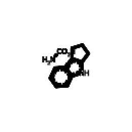 NC(=O)O.c1ccc2c3c([nH]c2c1)CCC3